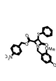 COc1ccc(CN2C(=O)C(Sc3ccccc3)C2C(=O)OCc2ccc([N+](=O)[O-])cc2)c(OC)c1